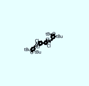 CC(C)(C)C1=CC(=C/N=N/c2c(Cl)cc(-c3cc(Cl)c(/N=N/C=C4C=C(C(C)(C)C)C(=O)C(C(C)(C)C)=C4)c(Cl)c3)cc2Cl)C=C(C(C)(C)C)C1=O